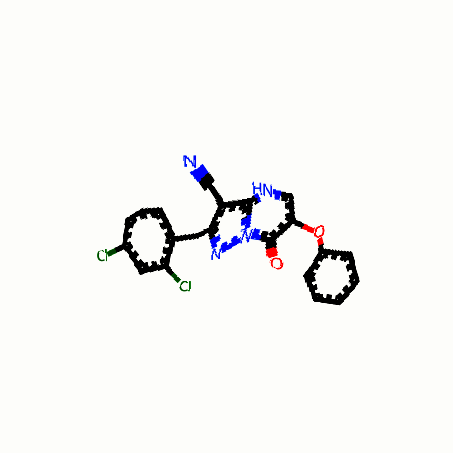 N#Cc1c(-c2ccc(Cl)cc2Cl)nn2c(=O)c(Oc3ccccc3)c[nH]c12